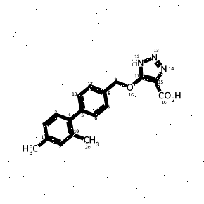 Cc1ccc(-c2ccc(COc3[nH]nnc3C(=O)O)cc2)c(C)c1